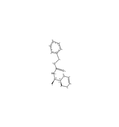 C[C@@H](NC(=O)OCc1ccccc1)[C@@H]1CCC=CO1